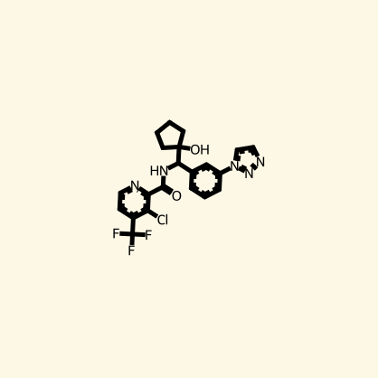 O=C(NC(c1cccc(-n2ccnn2)c1)C1(O)CCCC1)c1nccc(C(F)(F)F)c1Cl